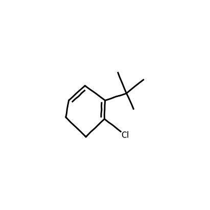 CC(C)(C)C1=C(Cl)CCC=C1